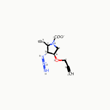 C#CCO[C@@H]1CN(C(=O)[O-])C(C(C)(C)C)[C@H]1N=[N+]=N